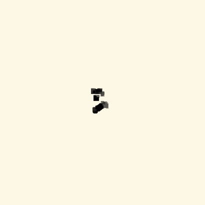 [BaH2].[Ni].[O]=[Ti]